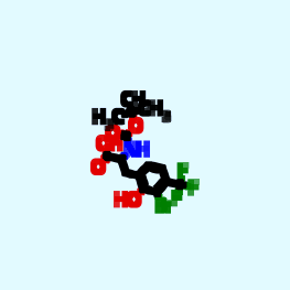 CC(C)(C)OC(=O)NC(Cc1ccc(C(F)(F)F)c(Br)c1O)C(=O)O